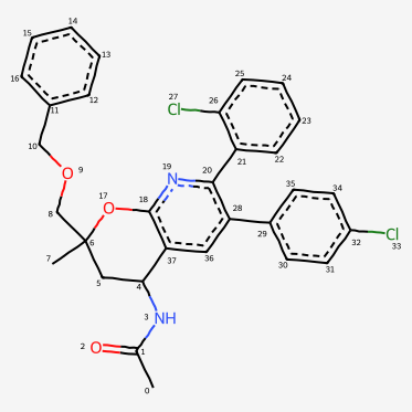 CC(=O)NC1CC(C)(COCc2ccccc2)Oc2nc(-c3ccccc3Cl)c(-c3ccc(Cl)cc3)cc21